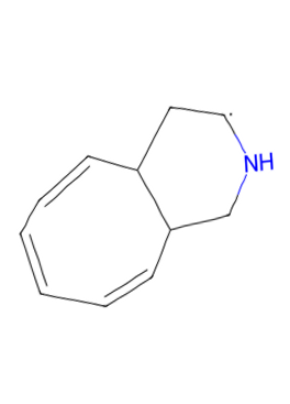 [CH]1CC2\C=C/C=C\C=C/C2CN1